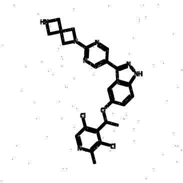 Cc1ncc(Cl)c(C(C)Oc2ccc3[nH]nc(-c4cnc(N5CC6(CNC6)C5)nc4)c3c2)c1Cl